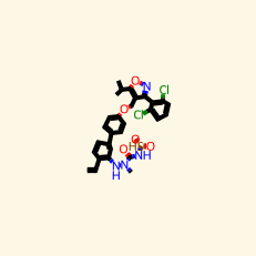 C=Cc1ccc(-c2ccc(OCc3c(-c4c(Cl)cccc4Cl)noc3C(C)C)cc2)cc1NN(C)C(=O)N[SH](=O)=O